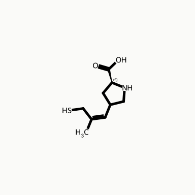 CC(=CC1CN[C@H](C(=O)O)C1)CS